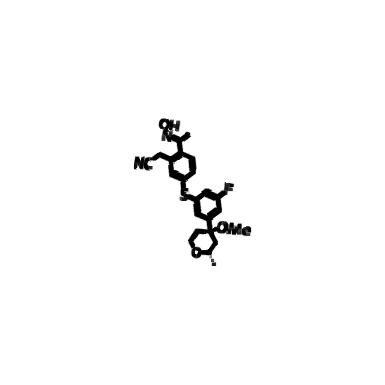 CO[C@]1(c2cc(F)cc(Sc3ccc(/C(C)=N/O)c(CC#N)c3)c2)CCO[C@@H](C)C1